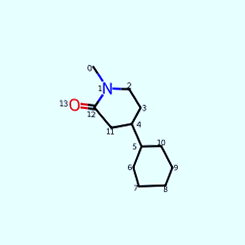 CN1CCC(C2CCCCC2)CC1=O